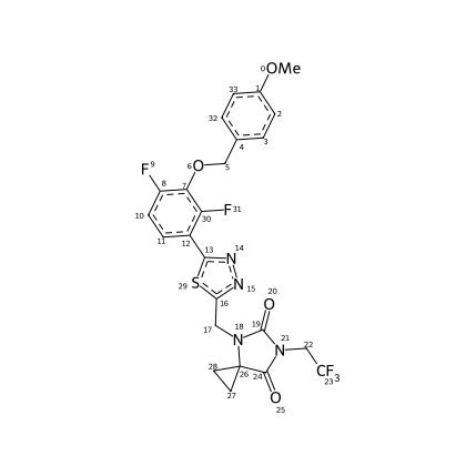 COc1ccc(COc2c(F)ccc(-c3nnc(CN4C(=O)N(CC(F)(F)F)C(=O)C45CC5)s3)c2F)cc1